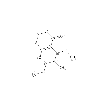 CCC1OC2=C(C(=O)CCC2)C(CC)C1C